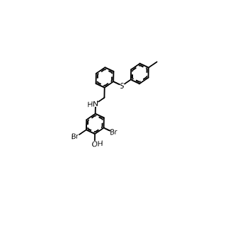 Cc1ccc(Sc2ccccc2CNc2cc(Br)c(O)c(Br)c2)cc1